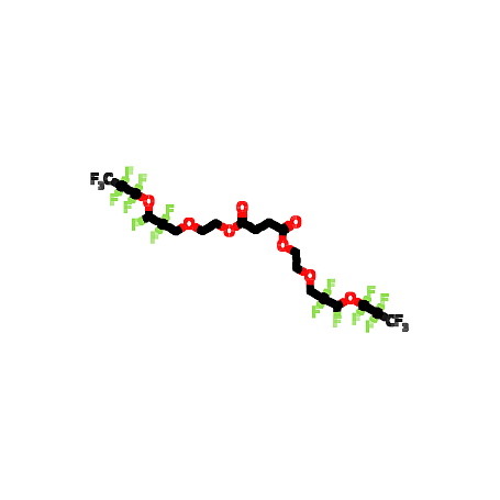 O=C(CCC(=O)OCCOCC(F)(F)C(F)OC(F)(F)C(F)(F)C(F)(F)F)OCCOCC(F)(F)C(F)OC(F)(F)C(F)(F)C(F)(F)F